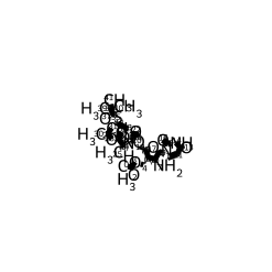 CC(=O)OC[C@H]1[C@@H](N)[C@H](n2ccc(=O)[nH]c2=O)O[C@@H]1CO[P@](=O)(N[C@@H](C)C(=O)OC(C)C)OCCSC(=O)C(C)(C)C